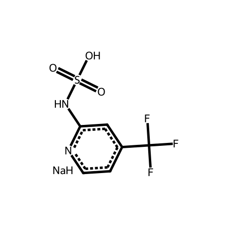 O=S(=O)(O)Nc1cc(C(F)(F)F)ccn1.[NaH]